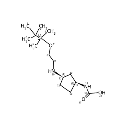 CC(C)(C)[Si](C)(C)OCCN[C@@H]1CC[C@H](NC(=O)O)C1